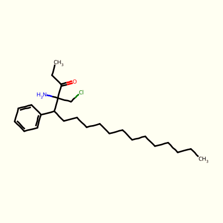 CCCCCCCCCCCCCC(c1ccccc1)C(N)(CCl)C(=O)CC